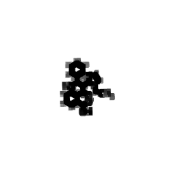 CCn1ccnc1C1C(=O)c2c(cccc2C(=O)O)NC1c1ccccc1